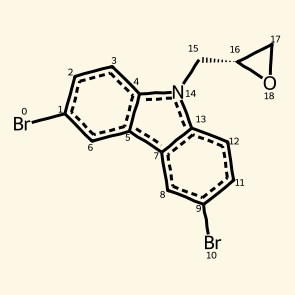 Brc1ccc2c(c1)c1cc(Br)ccc1n2C[C@@H]1CO1